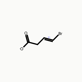 [O]C(=O)C/C=C/Br